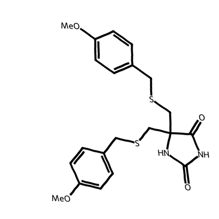 COc1ccc(CSCC2(CSCc3ccc(OC)cc3)NC(=O)NC2=O)cc1